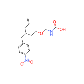 C=CCC(CCOCNC(=O)O)Cc1ccc([N+](=O)[O-])cc1